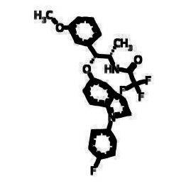 COc1cccc([C@@H](Oc2ccc3c(ccn3-c3ccc(F)cc3)c2)[C@H](C)NC(=O)C(F)(F)F)c1